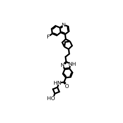 O=C(NC1CC(O)C1)c1ccc2[nH]c(CCC3CC4CC3CC4c3ccnc4ccc(F)cc34)nc2c1